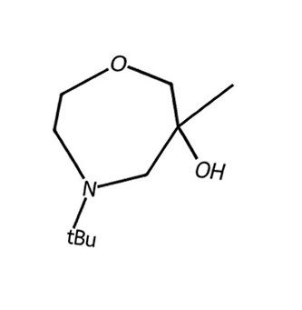 CC1(O)COCCN(C(C)(C)C)C1